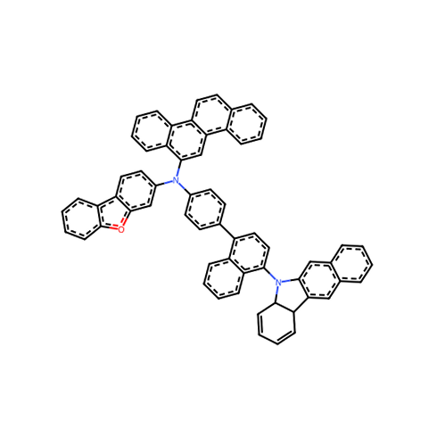 C1=CC2c3cc4ccccc4cc3N(c3ccc(-c4ccc(N(c5ccc6c(c5)oc5ccccc56)c5cc6c7ccccc7ccc6c6ccccc56)cc4)c4ccccc34)C2C=C1